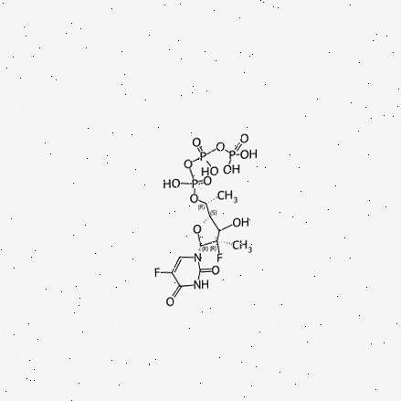 C[C@@H](OP(=O)(O)OP(=O)(O)OP(=O)(O)O)[C@H]1O[C@@H](n2cc(F)c(=O)[nH]c2=O)[C@](C)(F)C1O